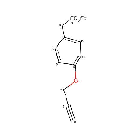 C#CCOc1ccc(CC(=O)OCC)cc1